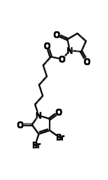 O=C(CCCCCN1C(=O)C(Br)=C(Br)C1=O)ON1C(=O)CCC1=O